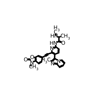 CNC(C)C(=O)Nc1ccc(-c2c(C)nc3ccccn23)c(C#Cc2ccc3c(c2)oc(=O)n3C)n1